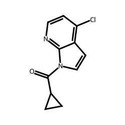 O=C(C1CC1)n1ccc2c(Cl)ccnc21